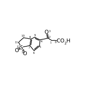 O=C(O)CC(=O)c1ccc2c(c1)CCS2(=O)=O